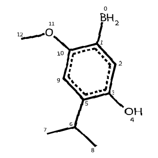 Bc1cc(O)c(C(C)C)cc1OC